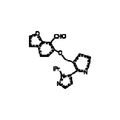 CC(C)n1nccc1-c1ncccc1COc1ccc2ccoc2c1C=O